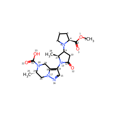 COC(=O)[C@@H]1CCCN1C1CC(=O)N(c2cnn3c2CN(C(=O)O)[C@@H](C)C3)[C@H]1C